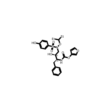 CCC(CC)ON(C[C@H](O)[C@H](Cc1ccccc1)NC(=O)Oc1ccoc1)S(=O)(=O)c1ccc(O)cc1